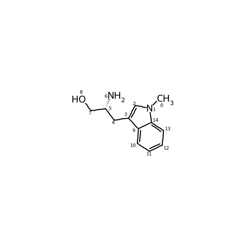 Cn1cc(C[C@@H](N)CO)c2ccccc21